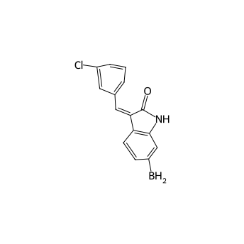 Bc1ccc2c(c1)NC(=O)C2=Cc1cccc(Cl)c1